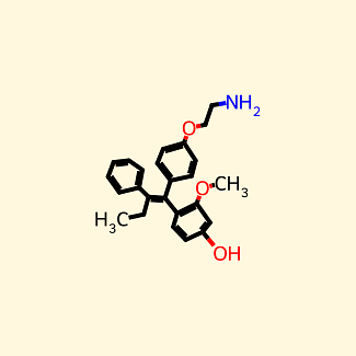 CCC(=C(c1ccc(OCCN)cc1)c1ccc(O)cc1OC)c1ccccc1